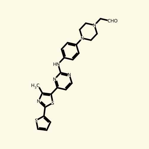 Cc1nc(-c2cccs2)sc1-c1ccnc(Nc2ccc(N3CCN(CC=O)CC3)cc2)n1